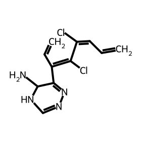 C=C/C=C(Cl)\C(Cl)=C(/C=C)C1=NN=CNC1N